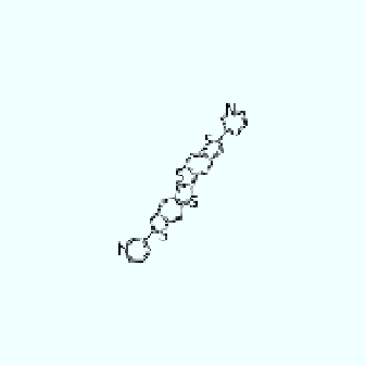 c1cncc(-c2cc3cc4c(cc3s2)sc2c3cc5cc(-c6cccnc6)sc5cc3sc42)c1